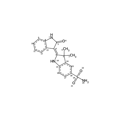 CC1(C)C(=C2C(=O)Nc3ccccc32)Nc2ccc(S(N)(=O)=O)cc21